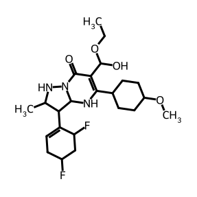 CCOC(O)C1=C(C2CCC(OC)CC2)NC2C(C3=CCC(F)CC3F)C(C)NN2C1=O